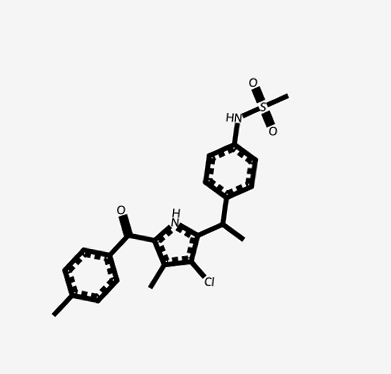 Cc1ccc(C(=O)c2[nH]c(C(C)c3ccc(NS(C)(=O)=O)cc3)c(Cl)c2C)cc1